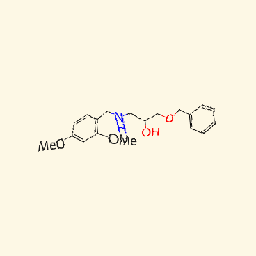 COc1ccc(CNCC(O)COCc2ccccc2)c(OC)c1